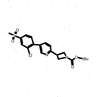 CC(C)(C)OC(=O)N1CC(c2ccc(-c3ccc(S(C)(=O)=O)cc3Cl)cn2)C1